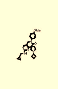 COc1ccc(N2Cc3cnc(NCC4CC4)nc3C3(CCN(C4CCC4)C3)C2=O)cc1